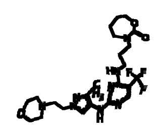 Cc1nn(CCN2CCOCC2)cc1Nc1ncc(C(F)(F)F)c(NCCCN2CCCCOC2=O)n1